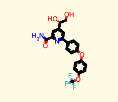 NC(=O)c1cc([C@@H](O)CO)cc(-c2ccc(Oc3ccc(OC(F)(F)F)cc3)cc2)n1